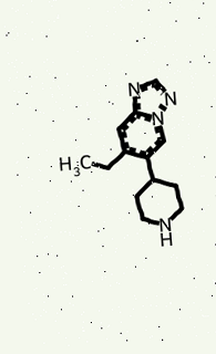 CCc1cc2ncnn2cc1C1CCNCC1